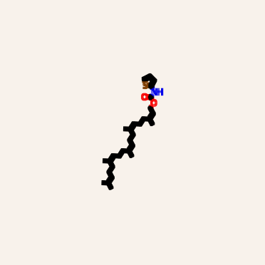 CC(C)=CCCC(C)=CCCC(C)=CCCC(C)=CCCC(C)=CCOC(=O)Nc1cccs1